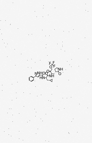 O=C(NC(CC1CC1)C(=O)NC(C[C@@H]1CCNC1=O)C(=O)COC(F)(F)F)c1cc(-c2ccccc2)n[nH]1